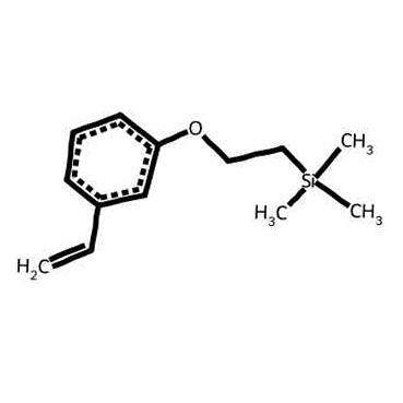 C=Cc1cccc(OCC[Si](C)(C)C)c1